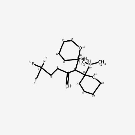 [CH]=C(CCC(F)(F)F)C(C1([SiH3])CCCCO1)C1([SiH](C)C)CCCCO1